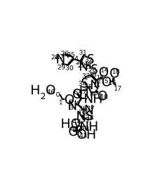 CCO/N=C(\C(=O)N[C@@H]1C(=O)N2C(C(=O)OC(C)=O)=C(Sc3nc(-c4cc[n+](C)cc4)cs3)CS[C@H]12)c1nsc(NP(=O)(O)O)n1.O